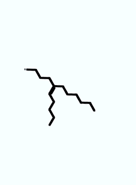 [CH2]CCCC(=CCCCC)CCCCCC